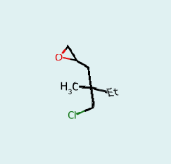 CCC(C)(CCl)CC1CO1